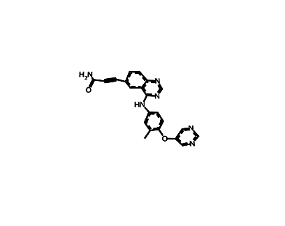 Cc1cc(Nc2ncnc3ccc(C#CC(N)=O)cc23)ccc1Oc1cncnc1